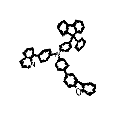 c1ccc(C2(c3ccc(N(c4ccc(-c5ccc6oc7ccccc7c6c5)cc4)c4ccc(-c5cccc6cccnc56)cc4)cc3)c3ccccc3-c3ccccc32)cc1